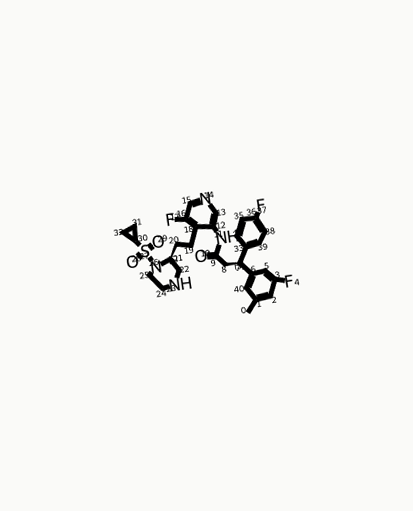 Cc1cc(F)cc([C@@H](CC(=O)Nc2cncc(F)c2CC[C@H]2CNCCN2S(=O)(=O)C2CC2)c2ccc(F)cc2)c1